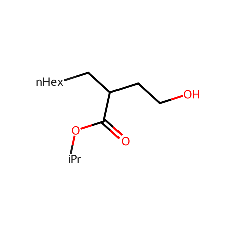 CCCCCCCC(CCO)C(=O)OC(C)C